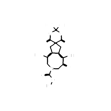 CC1=C2CC3(CC2=C(C)C(=O)CN(C(=O)OC(C)(C)C)C1)C(=O)OC(C)(C)OC3=O